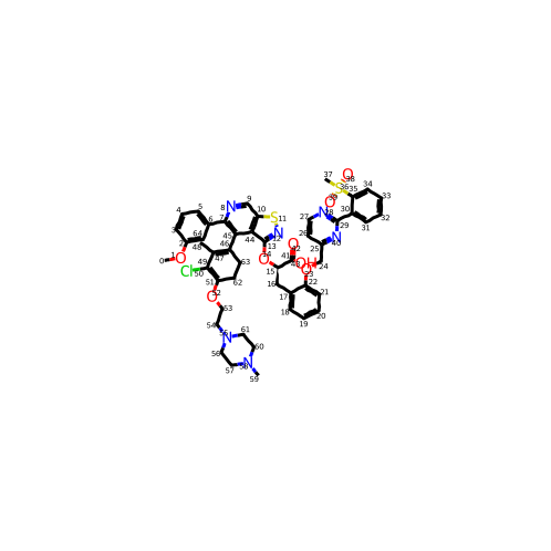 COc1cccc(-c2ncc3snc(O[C@H](Cc4ccccc4OCc4ccnc(-c5ccccc5S(C)(=O)=O)n4)C(=O)O)c3c2C2=C(C)C(Cl)=C(OCCN3CCN(C)CC3)CC2)c1